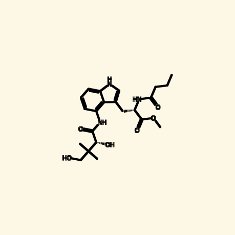 CCCC(=O)N[C@@H](Cc1c[nH]c2cccc(NC(=O)[C@H](O)C(C)(C)CO)c12)C(=O)OC